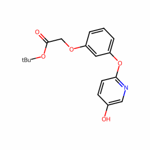 CC(C)(C)OC(=O)COc1cccc(Oc2ccc(O)cn2)c1